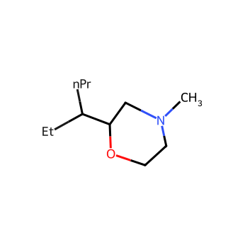 CCCC(CC)C1CN(C)CCO1